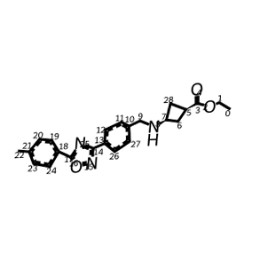 CCOC(=O)[C@H]1C[C@@H](NCc2ccc(-c3noc(-c4ccc(C)cc4)n3)cc2)C1